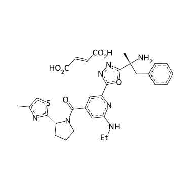 CCNc1cc(C(=O)N2CCC[C@@H]2c2nc(C)cs2)cc(-c2nnc([C@](C)(N)Cc3ccccc3)o2)n1.O=C(O)C=CC(=O)O